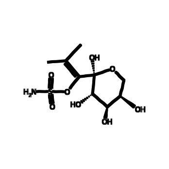 CC(C)=C(OS(N)(=O)=O)[C@@]1(O)OC[C@@H](O)[C@@H](O)[C@@H]1O